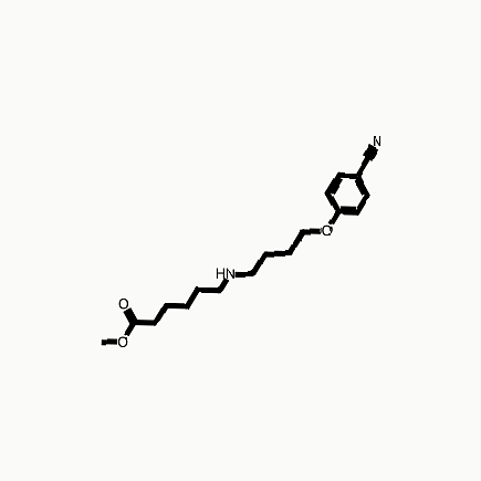 COC(=O)CCCCCNCCCCOc1ccc(C#N)cc1